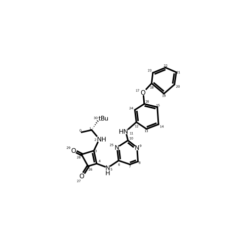 C[C@@H](Nc1c(Nc2ccnc(Nc3cccc(Oc4ccccc4)c3)n2)c(=O)c1=O)C(C)(C)C